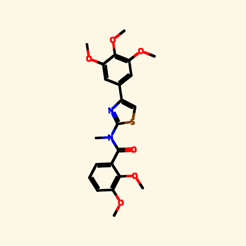 COc1cc(-c2csc(N(C)C(=O)c3cccc(OC)c3OC)n2)cc(OC)c1OC